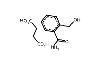 NC(=O)c1ccccc1CO.O=C(O)CCC(=O)O